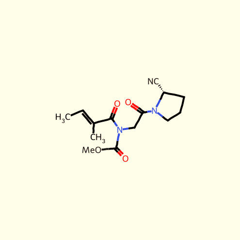 C/C=C(\C)C(=O)N(CC(=O)N1CCC[C@H]1C#N)C(=O)OC